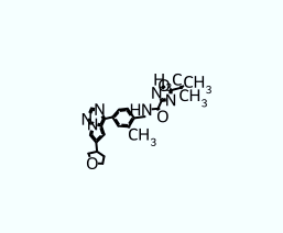 Cc1cc(-c2ncnn3cc(C4CCOC4)cc23)ccc1CNC(=O)c1noc(C(C)(C)C)n1